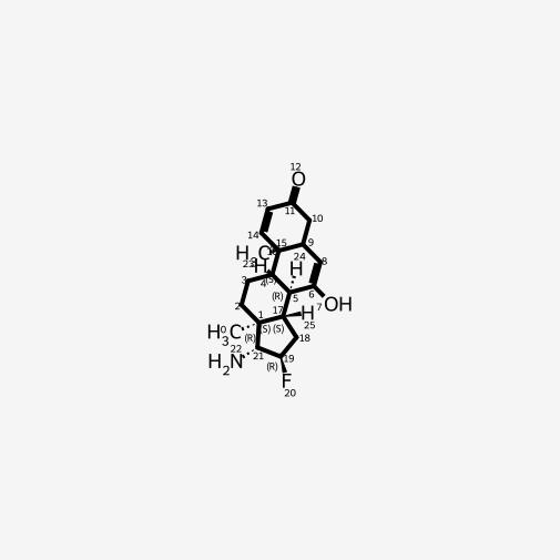 C[C@]12CC[C@H]3[C@@H](C(O)=CC4CC(=O)C=C[C@@]43C)[C@@H]1C[C@@H](F)[C@@H]2N